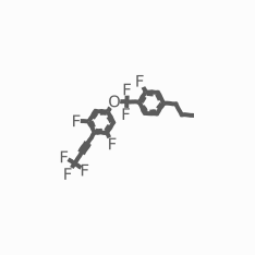 CCCc1ccc(C(F)(F)Oc2cc(F)c(C#CC(F)(F)F)c(F)c2)c(F)c1